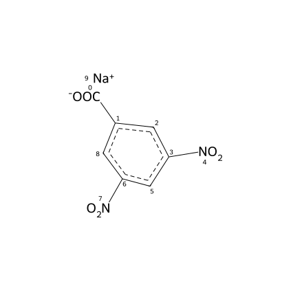 O=C([O-])c1cc([N+](=O)[O-])cc([N+](=O)[O-])c1.[Na+]